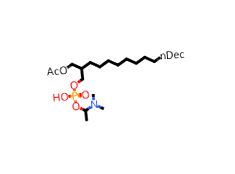 CCCCCCCCCCCCCCCCCCC(COC(C)=O)COP(=O)(O)OC(C)N(C)C